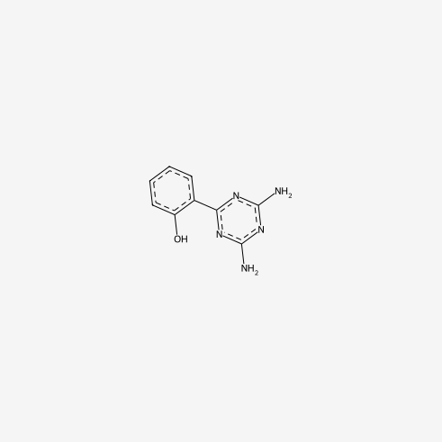 Nc1nc(N)nc(-c2ccccc2O)n1